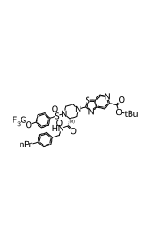 CCCc1ccc(CNC(=O)[C@H]2CN(c3nc4cc(C(=O)OC(C)(C)C)ncc4s3)CCN2S(=O)(=O)c2ccc(OC(F)(F)F)cc2)cc1